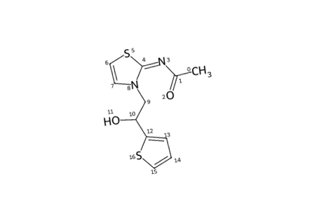 CC(=O)/N=c1/sccn1CC(O)c1cccs1